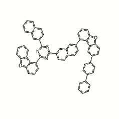 c1ccc(-c2ccc(-c3ccc4oc5cccc(-c6ccc7ccc(-c8nc(-c9ccc%10ccccc%10c9)nc(-c9cccc%10oc%11ccccc%11c9%10)n8)cc7c6)c5c4c3)cc2)cc1